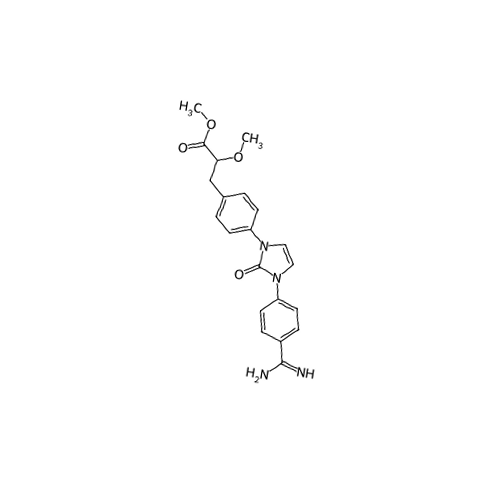 COC(=O)C(Cc1ccc(-n2ccn(-c3ccc(C(=N)N)cc3)c2=O)cc1)OC